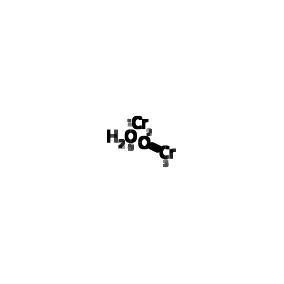 O.[Cr].[O]=[Cr]